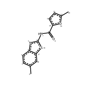 Cc1ccc2nc(NC(=O)c3ccc(C)o3)sc2c1